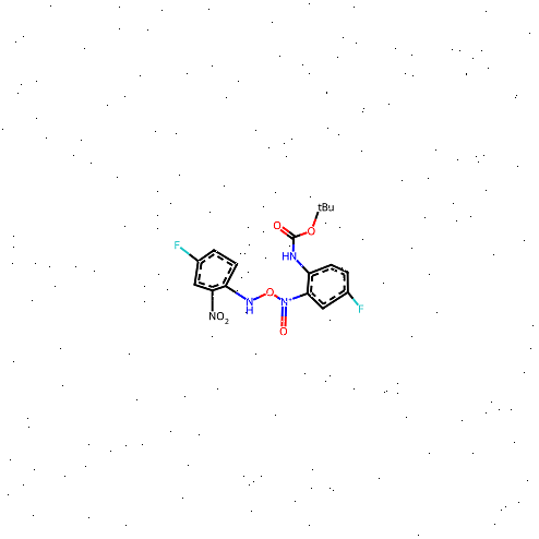 CC(C)(C)OC(=O)Nc1ccc(F)cc1[N+](=O)ONc1ccc(F)cc1[N+](=O)[O-]